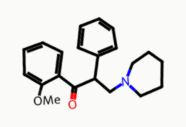 COc1ccccc1C(=O)C(CN1CCCCC1)c1ccccc1